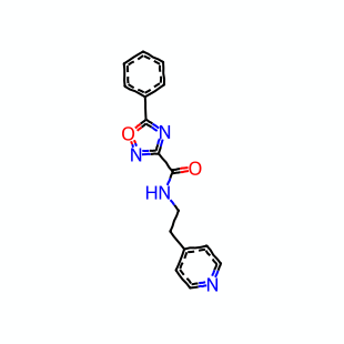 O=C(NCCc1ccncc1)c1noc(-c2ccccc2)n1